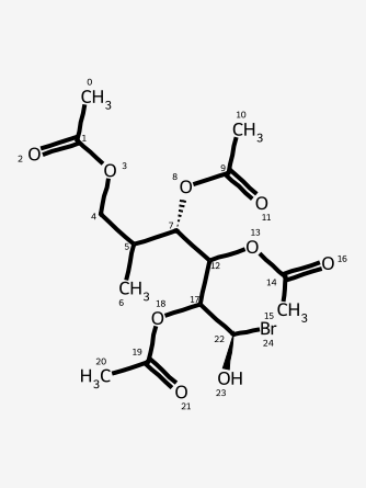 CC(=O)OCC(C)[C@H](OC(C)=O)C(OC(C)=O)C(OC(C)=O)[C@H](O)Br